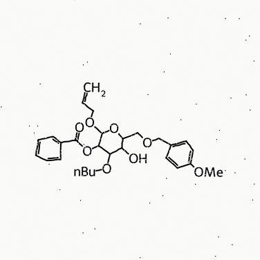 C=CCOC1OC(COCc2ccc(OC)cc2)C(O)C(OCCCC)C1OC(=O)c1ccccc1